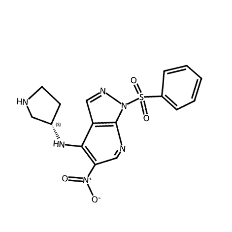 O=[N+]([O-])c1cnc2c(cnn2S(=O)(=O)c2ccccc2)c1N[C@H]1CCNC1